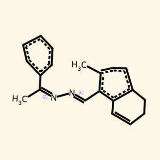 C/C(=N/N=C/c1c(C)ccc2c1C=CCC2)c1ccccc1